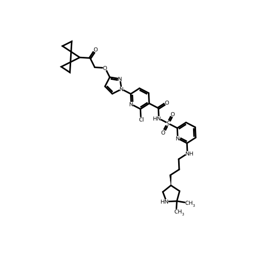 CC1(C)C[C@H](CCCNc2cccc(S(=O)(=O)NC(=O)c3ccc(-n4ccc(OCC(=O)C5C6(CC6)C56CC6)n4)nc3Cl)n2)CN1